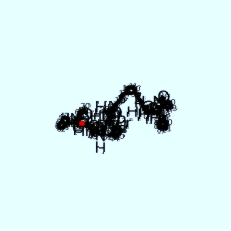 CC(C)C(NC(=O)CCSCc1cccc(CSCCNC(=O)[C@H](C)NC(=O)[C@@](C)(NC(=O)[C@H](Cc2ccccc2)NC(=O)[C@H](C)NC(=O)C(C)(C)NC(=O)[C@H](Cc2cccc3ccccc23)NC(=O)C[C@@H](C)O)C(C)C)c1)C(=O)N[C@@H](Cc1ccccc1)C(=O)N1CCC[C@H]1C(N)=O